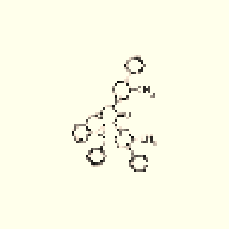 CC1CN(C(COCc2ccccc2)C(=O)C(COCc2ccccc2)N2CCN(c3ccccc3)C(C)C2)CCN1c1ccccc1